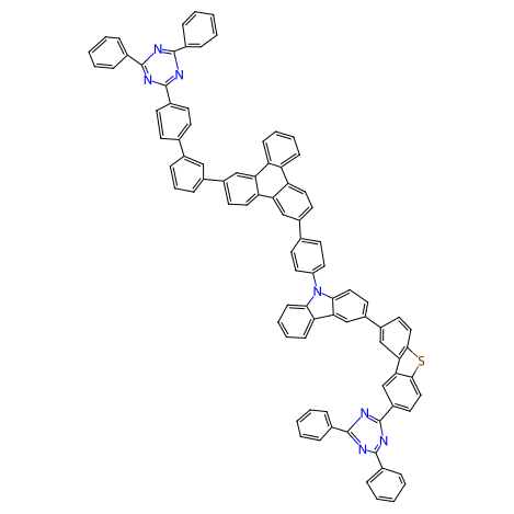 c1ccc(-c2nc(-c3ccccc3)nc(-c3ccc(-c4cccc(-c5ccc6c7cc(-c8ccc(-n9c%10ccccc%10c%10cc(-c%11ccc%12sc%13ccc(-c%14nc(-c%15ccccc%15)nc(-c%15ccccc%15)n%14)cc%13c%12c%11)ccc%109)cc8)ccc7c7ccccc7c6c5)c4)cc3)n2)cc1